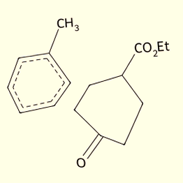 CCOC(=O)C1CCC(=O)CC1.Cc1ccccc1